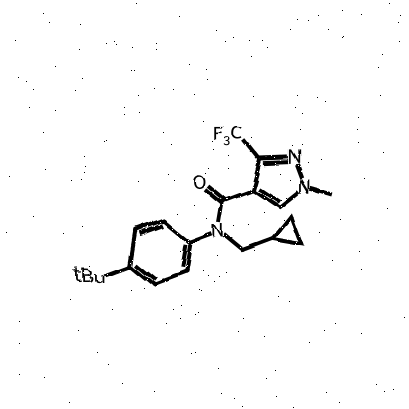 Cn1cc(C(=O)N(CC2CC2)c2ccc(C(C)(C)C)cc2)c(C(F)(F)F)n1